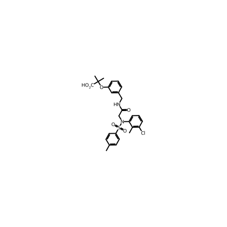 Cc1ccc(S(=O)(=O)N(CC(=O)NCc2cccc(OC(C)(C)C(=O)O)c2)c2cccc(Cl)c2C)cc1